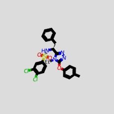 CCn1c(Oc2ccc(C)cc2)nnc1[C@@H](Cc1ccccc1)NS(=O)(=O)c1ccc(Cl)c(Cl)c1